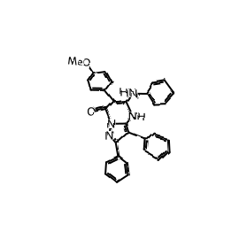 COc1ccc(-c2c(Nc3ccccc3)[nH]c3c(-c4ccccc4)c(-c4ccccc4)nn3c2=O)cc1